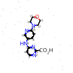 O=C(O)c1nccc(Nc2ccc(N3CCOCC3)nc2)n1